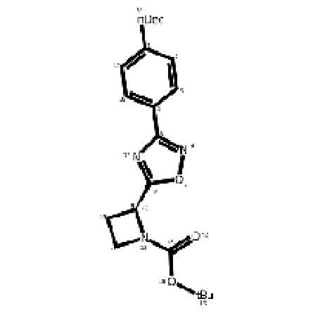 CCCCCCCCCCc1ccc(-c2noc([C@@H]3CCN3C(=O)OC(C)(C)C)n2)cc1